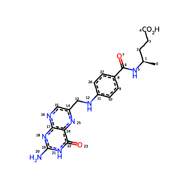 C[C@H](CCC(=O)O)NC(=O)c1ccc(NCc2cnc3nc(N)[nH]c(=O)c3n2)cc1